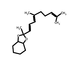 CC(C)=CCC/C(C)=C/C=C/C1(C)OC2CCCCC2O1